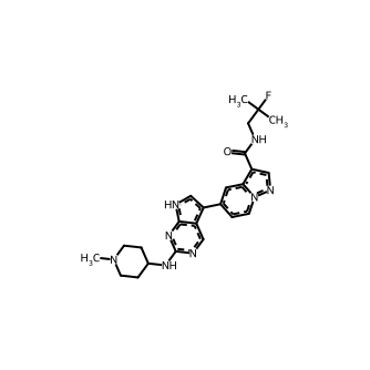 CN1CCC(Nc2ncc3c(-c4ccn5ncc(C(=O)NCC(C)(C)F)c5c4)c[nH]c3n2)CC1